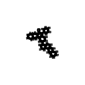 O=c1c2cc3ccccc3cc2c2cc(-c3cccc4c3ccc3cc5ccccc5cc34)ccc2n1-c1ccccc1